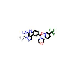 Cn1ncc2c3cc(C(=O)N4CCOC[C@H]4c4ccc(C(F)(F)F)cn4)ccc3nc(N)c21